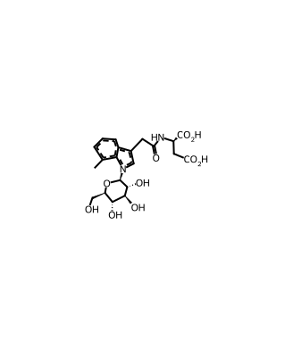 Cc1cccc2c(CC(=O)N[C@H](CC(=O)O)C(=O)O)cn([C@@H]3O[C@H](CO)[C@@H](O)[C@H](O)[C@H]3O)c12